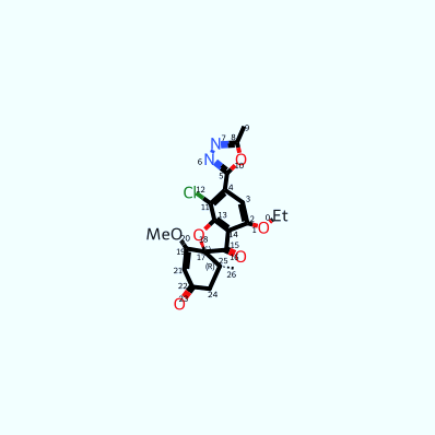 CCOc1cc(-c2nnc(C)o2)c(Cl)c2c1C(=O)[C@@]1(O2)C(OC)=CC(=O)C[C@H]1C